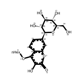 CCCCCCOc1c(O)c(=O)oc2cc([C@@H]3O[C@H](CO)[C@@H](O)[C@H](O)[C@H]3O)ccc12